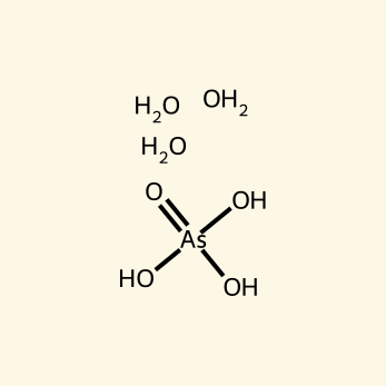 O.O.O.O=[As](O)(O)O